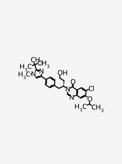 CC(C)Oc1cc2ncn([C@H](CCO)Cc3ccc(-c4cn(C)c(C(C)(C)C)n4)cc3)c(=O)c2cc1Cl